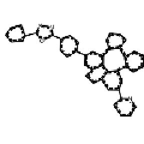 c1ccc(-c2nnc(-c3ccc(-c4cc5ccc6cc(-c7ccccn7)cc7c8ccccc8c8ccccc8c(c4)c5c67)cc3)o2)cc1